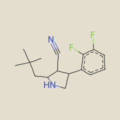 CC(C)(C)CC1NCC(c2cccc(F)c2F)C1C#N